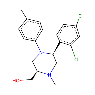 Cc1ccc(N2C[C@H](CO)N(C)C[C@@H]2c2ccc(Cl)cc2Cl)cc1